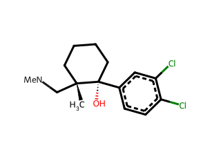 CNC[C@]1(C)CCCC[C@@]1(O)c1ccc(Cl)c(Cl)c1